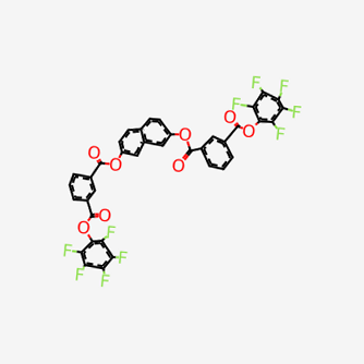 O=C(Oc1ccc2ccc(OC(=O)c3cccc(C(=O)Oc4c(F)c(F)c(F)c(F)c4F)c3)cc2c1)c1cccc(C(=O)Oc2c(F)c(F)c(F)c(F)c2F)c1